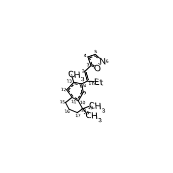 CC/C(=C\c1ccno1)c1cc2c(cc1C)CCCC2(C)C